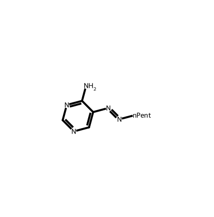 CCCCCN=Nc1cncnc1N